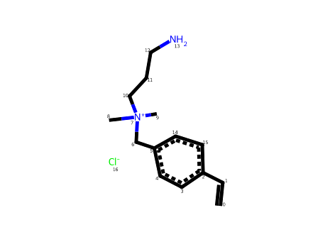 C=Cc1ccc(C[N+](C)(C)CCCN)cc1.[Cl-]